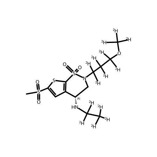 [2H]C([2H])([2H])OC([2H])([2H])C([2H])([2H])C([2H])([2H])N1C[C@H](NC([2H])([2H])C([2H])([2H])[2H])c2cc(S(C)(=O)=O)sc2S1(=O)=O